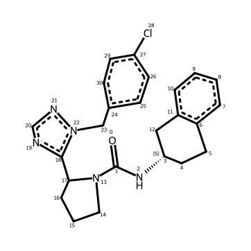 O=C(N[C@H]1CCc2ccccc2C1)N1CCCC1c1ncnn1Cc1ccc(Cl)cc1